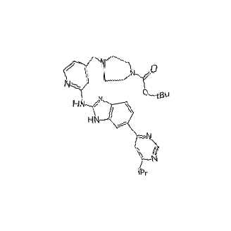 CC(C)c1cc(-c2ccc3nc(Nc4cc(CN5CCN(C(=O)OC(C)(C)C)CC5)ccn4)[nH]c3c2)ncn1